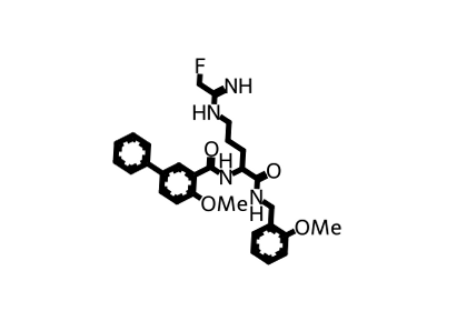 COc1ccccc1CNC(=O)C(CCCNC(=N)CF)NC(=O)c1cc(-c2ccccc2)ccc1OC